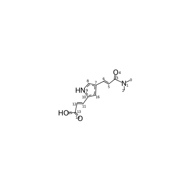 CN(C)C(=O)/C=C/c1c[nH]c(/C=C/C(=O)O)c1